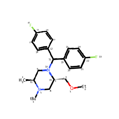 CCOC[C@@H]1CN(C(C)(C)C)[C@@H](C)CN1C(c1ccc(F)cc1)c1ccc(F)cc1